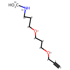 C#CCOCCCOCCCNC(=O)O